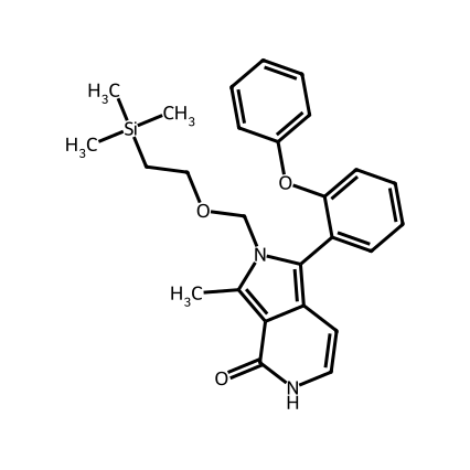 Cc1c2c(=O)[nH]ccc2c(-c2ccccc2Oc2ccccc2)n1COCC[Si](C)(C)C